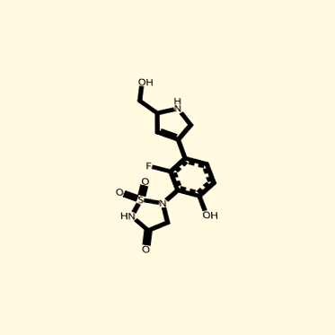 O=C1CN(c2c(O)ccc(C3=CC(CO)NC3)c2F)S(=O)(=O)N1